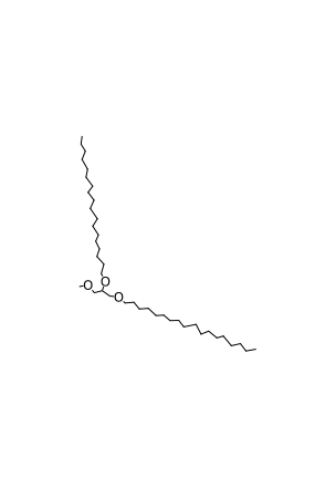 CCCCCCCCCCCCCCCCCCOCC(COC)OCCCCCCCCCCCCCCCCCC